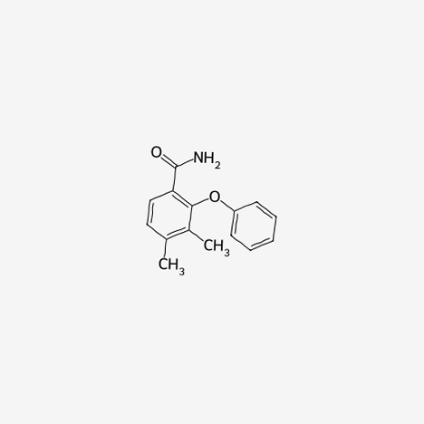 Cc1ccc(C(N)=O)c(Oc2ccccc2)c1C